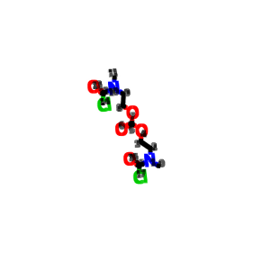 CN(CCOC(=O)OCCN(C)C(=O)Cl)C(=O)Cl